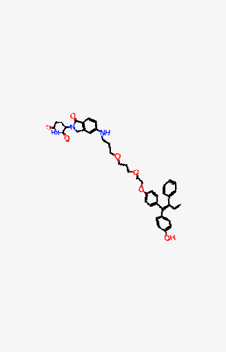 CCC(=C(c1ccc(O)cc1)c1ccc(OCCOCCCOCCCNc2ccc3c(c2)CN(C2CCC(=O)NC2=O)C3=O)cc1)c1ccccc1